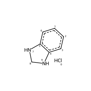 Cl.c1ccc2c(c1)NCN2